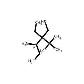 CC[C@@H](N)C(CC)(CS)C(C)(C)C